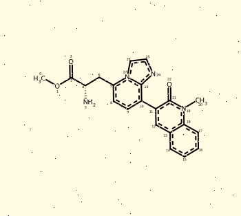 COC(=O)[C@@H](N)Cc1ccc(-c2cc3ccccc3n(C)c2=O)c2nccn12